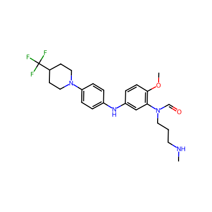 CNCCCN(C=O)c1cc(Nc2ccc(N3CCC(C(F)(F)F)CC3)cc2)ccc1OC